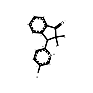 CC1(C)C(=O)c2ccccc2C1c1ccc(F)cn1